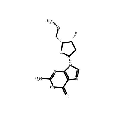 COC[C@H]1O[C@@H](n2cnc3c(=O)[nH]c(N)nc32)C[C@H]1F